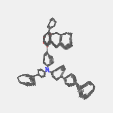 c1ccc(-c2ccc(-c3ccc(N(c4ccc(-c5ccccc5)cc4)c4ccc(-c5ccc(-c6ccccc6)c6c5C5c7ccccc7C6c6ccccc65)cc4)cc3)cc2)cc1